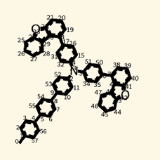 Cc1ccc(-c2ccc(-c3ccc(N(c4ccc(-c5cccc6oc7ccccc7c56)cc4)c4ccc(-c5cccc6oc7ccccc7c56)cc4)cc3)cc2)cc1